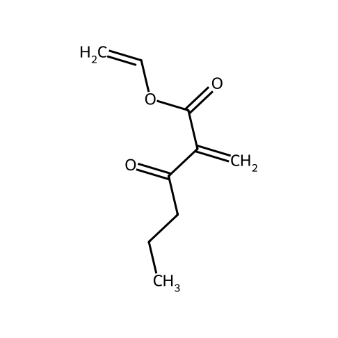 C=COC(=O)C(=C)C(=O)CCC